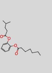 CCCCCCC(=O)Oc1ccccc1OC(=O)CCC(C)C